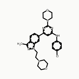 Cc1nn(CCN2CCOCC2)c2cc(-c3cc(Nc4ccc(Cl)cc4)nc(N4CCOCC4)n3)ccc12